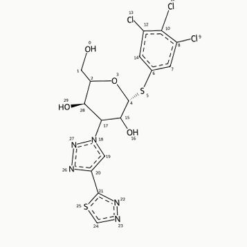 OCC1O[C@H](Sc2cc(Cl)c(Cl)c(Cl)c2)C(O)C(n2cc(-c3nncs3)nn2)[C@H]1O